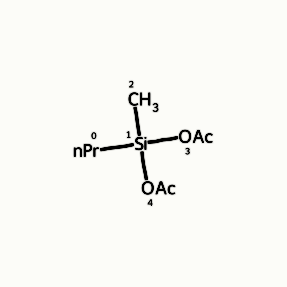 [CH2]CC[Si](C)(OC(C)=O)OC(C)=O